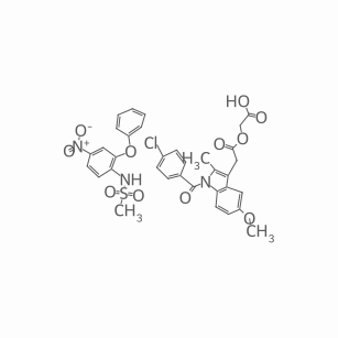 COc1ccc2c(c1)c(CC(=O)OCC(=O)O)c(C)n2C(=O)c1ccc(Cl)cc1.CS(=O)(=O)Nc1ccc([N+](=O)[O-])cc1Oc1ccccc1